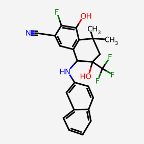 CC1(C)CC(O)(C(F)(F)F)C(Nc2ccc3ccccc3c2)c2cc(C#N)c(F)c(O)c21